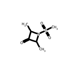 CC1C(=O)C(C)N1S(C)(=O)=O